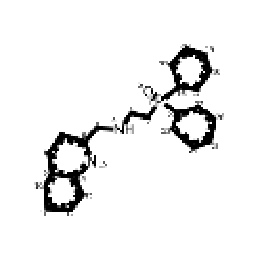 O=P(CCNCc1ccc2ccccc2n1)(c1ccccc1)c1ccccc1